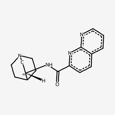 O=C(N[C@H]1CN2CCC1CC2)c1ccc2cccnc2n1